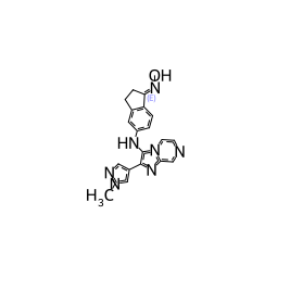 Cn1cc(-c2nc3cnccn3c2Nc2ccc3c(c2)CC/C3=N\O)cn1